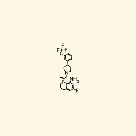 C=C(CN1CCC(c2cccc(OC(F)(F)F)c2)CC1)N1CCCc2cc(F)cc(N)c21